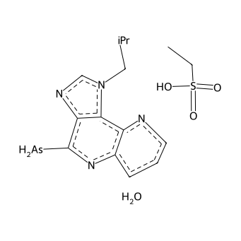 CC(C)Cn1cnc2c([AsH2])nc3cccnc3c21.CCS(=O)(=O)O.O